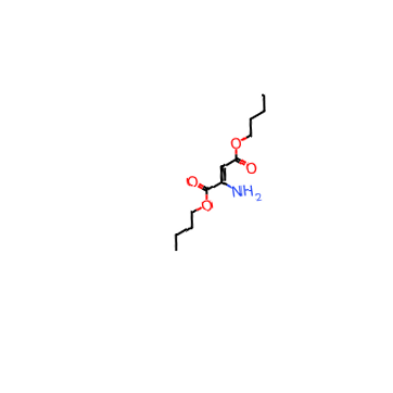 CCCCOC(=O)C=C(N)C(=O)OCCCC